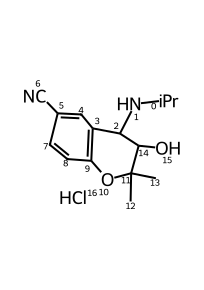 CC(C)NC1c2cc(C#N)ccc2OC(C)(C)C1O.Cl